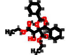 CCOC(=O)C(O)C(OC(=O)c1ccccc1)(C(=O)OCC)C(=O)c1ccccc1